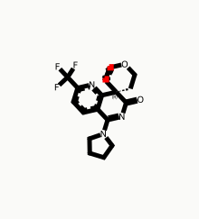 O=C1N=C(N2CCCC2)c2ccc(C(F)(F)F)nc2[C@]12CCOc1ccccc12